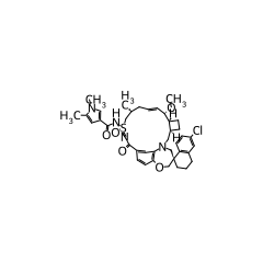 CO[C@H]1/C=C/C[C@H](C)CS(=O)(NC(=O)c2cc(C)n(C)c2)=NC(=O)c2ccc3c(c2)N(C[C@@H]2CC[C@H]21)C[C@@]1(CCCc2cc(Cl)ccc21)CO3